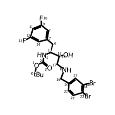 CC(C)(C)OC(=O)N[C@@H](Cc1cc(F)cc(F)c1)[C@@H](O)CNCc1ccc(Br)c(Br)c1